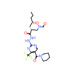 CCCCC[C@H](CN(O)C=O)C(=O)NNc1ncc(C(=O)N2CCCCC2)c(C(F)(F)F)n1